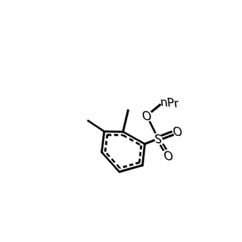 CCCOS(=O)(=O)c1cccc(C)c1C